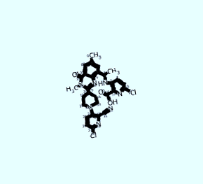 Cc1cc(C(C)Nc2ccc(Cl)nc2C(=O)O)c2nc(C3CCN(c4ccc(Cl)nc4C#N)CC3)n(C)c(=O)c2c1